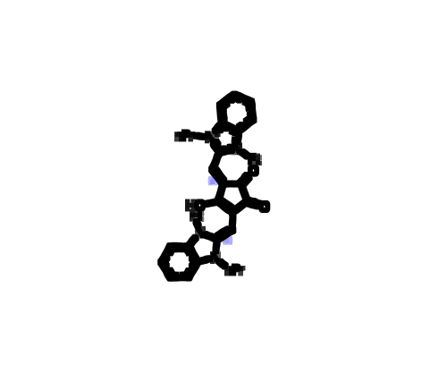 CCCN1/C(=C/C2=C(O)C(=C/c3n(CC)c4ccccc4[n+]3CCC)/C(=O)C2=O)N(CC)c2ccccc21